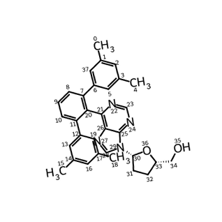 Cc1cc(C)cc(-c2cccc(-c3cc(C)cc(C)c3)c2-c2ncnc3c2ncn3[C@H]2CC[C@@H](CO)O2)c1